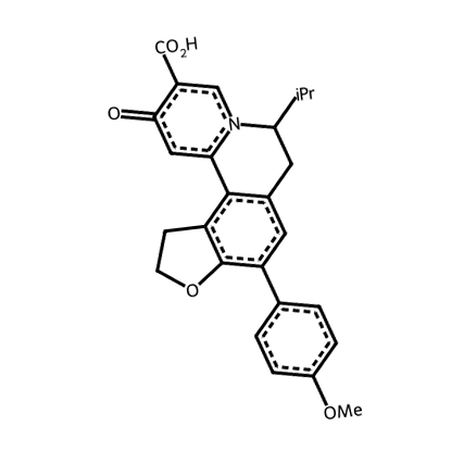 COc1ccc(-c2cc3c(c4c2OCC4)-c2cc(=O)c(C(=O)O)cn2C(C(C)C)C3)cc1